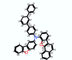 C1=C=Cc2c(oc3ccc(N(c4ccc(C5=CC(c6ccccc6)CC=C5)cc4)c4cccc5c4oc4c6ccccc6ccc54)cc23)C=1